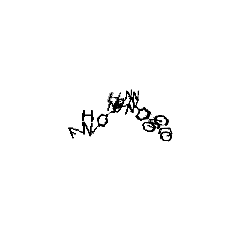 Nc1ncc(-c2ccc(S(=O)(=O)C3CCOC3)cc2)nc1-c1cc(-c2ccc(CNCCF)cc2)no1